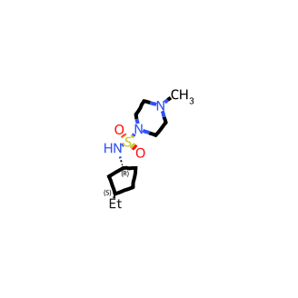 CC[C@H]1CC[C@@H](NS(=O)(=O)N2CCN(C)CC2)C1